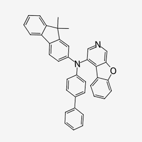 CC1(C)c2ccccc2-c2ccc(N(c3ccc(-c4ccccc4)cc3)c3cncc4oc5ccccc5c34)cc21